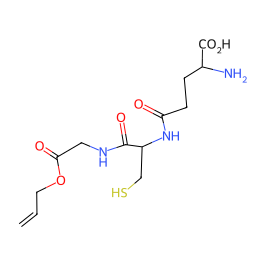 C=CCOC(=O)CNC(=O)C(CS)NC(=O)CCC(N)C(=O)O